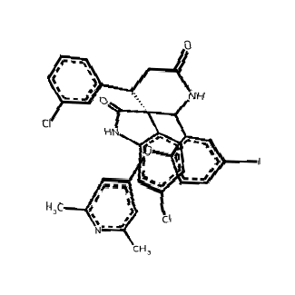 Cc1cc(Oc2ccc(I)cc2C2NC(=O)CC(c3cccc(Cl)c3)[C@]23C(=O)Nc2cc(Cl)ccc23)cc(C)n1